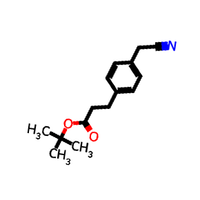 CC(C)(C)OC(=O)CCc1ccc(CC#N)cc1